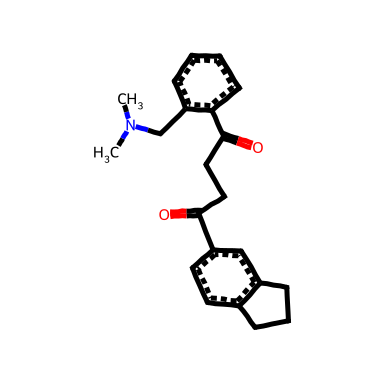 CN(C)Cc1ccccc1C(=O)CCC(=O)c1ccc2c(c1)CCC2